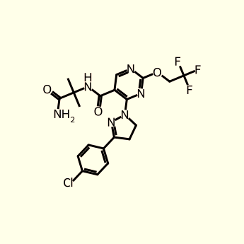 CC(C)(NC(=O)c1cnc(OCC(F)(F)F)nc1N1CCC(c2ccc(Cl)cc2)=N1)C(N)=O